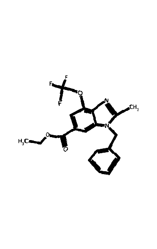 CCOC(=O)c1cc(OC(F)(F)F)c2nc(C)n(Cc3ccccc3)c2c1